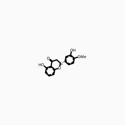 COc1ccc([C@H]2CC(=O)c3c(O)cccc3O2)cc1O